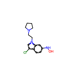 ONc1ccc2c(Cl)cn(CCN3CCCC3)c2c1